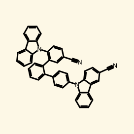 N#Cc1ccc(-n2c3ccccc3c3ccccc32)c(-c2ccccc2-c2ccc(-n3c4ccccc4c4cc(C#N)ccc43)cc2)c1